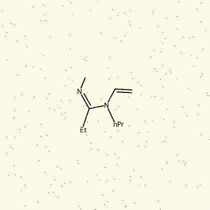 C=CN(CCC)/C(CC)=N\C